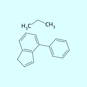 C1=Cc2c(cccc2-c2ccccc2)C1.CCC